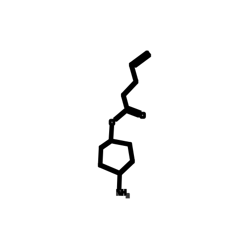 C=CCCC(=O)OC1CCC(N)CC1